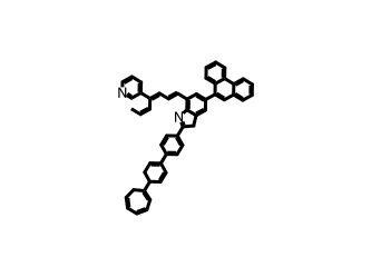 C\C=C/C(=C\C=C\c1cc(-c2cc3ccccc3c3ccccc23)cc2c1N=C(c1ccc(C3=CCC(C4=CC=CC=CC4)C=C3)cc1)C2)c1cccnc1